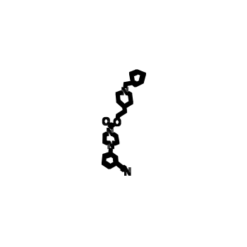 N#Cc1cccc(N2CCN(C(=O)OCCC3CCN(Cc4ccccc4)CC3)CC2)c1